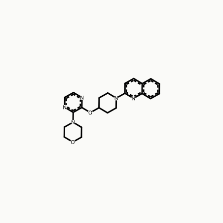 c1ccc2nc(N3CCC(Oc4nccnc4N4CCOCC4)CC3)ccc2c1